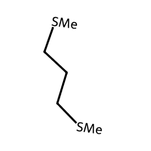 [CH2]SCCCS[CH2]